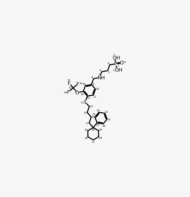 O=P(O)(O)CCCNCc1ccc(SCCCCC2(c3ccccc3)CCCCC2)c(OC(F)(F)F)c1